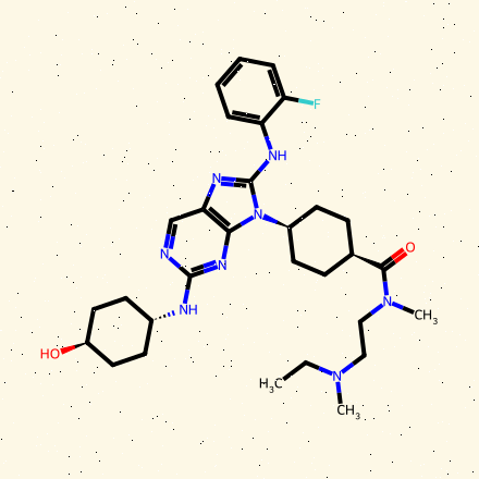 CCN(C)CCN(C)C(=O)[C@H]1CC[C@@H](n2c(Nc3ccccc3F)nc3cnc(N[C@H]4CC[C@H](O)CC4)nc32)CC1